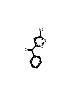 [CH2]Cc1cc(C(=O)c2ccccc2)on1